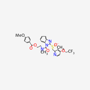 COc1ccc(C(=O)OCCN(C)C(=O)n2c([S+]([O-])Cc3nccc(OCC(F)(F)F)c3C)nc3ccccc32)cc1